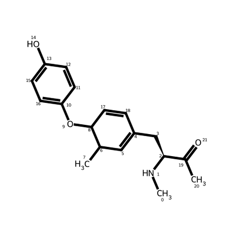 CN[C@@H](CC1=CC(C)C(Oc2ccc(O)cc2)C=C1)C(C)=O